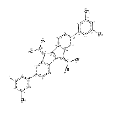 Cc1cc(-c2ccc3c(c2)C(=C(C#N)C#N)C2=C3C(=C(C#N)C#N)c3cc(-c4cc(C(F)(F)F)cc(C(F)(F)F)c4)ccc32)cc(C(F)(F)F)c1